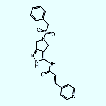 O=C(/C=C/c1ccncc1)Nc1[nH]nc2c1CN(S(=O)(=O)Cc1ccccc1)C2